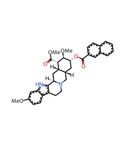 COC(=O)[C@H]1[C@H]2C[C@@H]3c4[nH]c5cc(OC)ccc5c4CCN3C[C@H]2C[C@@H](OC(=O)c2ccc3ccccc3c2)[C@@H]1OC